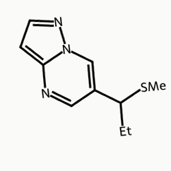 CCC(SC)c1cnc2ccnn2c1